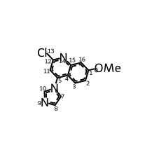 COc1ccc2c(-n3ccnc3)cc(Cl)nc2c1